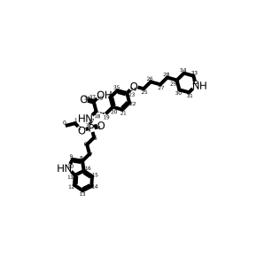 CCOP(=O)(CCCc1c[nH]c2ccccc12)N[C@@H](Cc1ccc(OCCCCC2CCNCC2)cc1)C(=O)O